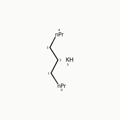 [CH2]CCCCCCCC.[KH]